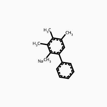 Cc1cc(-c2ccccc2)c(C)c(C)c1C.[Na]